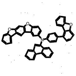 c1ccc2c(c1)cc(N(c1ccc(-c3cccc4oc5ccccc5c34)cc1)c1ccc3oc4cc5oc6ccccc6c5cc4c3c1)c1ccccc12